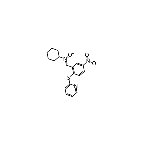 O=[N+]([O-])c1ccc(Sc2ccccn2)c(C=[N+]([O-])C2CCCCC2)c1